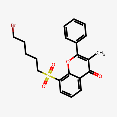 Cc1c(-c2ccccc2)oc2c(S(=O)(=O)CCCCCBr)cccc2c1=O